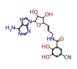 N#Cc1cc(O)c(O)c(C(=O)NCC=CC2OC(n3cnc4c(N)ncnc43)C(O)C2O)c1